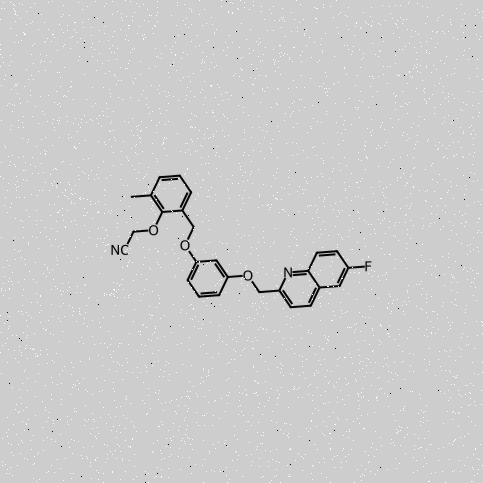 Cc1cccc(COc2cccc(OCc3ccc4cc(F)ccc4n3)c2)c1OCC#N